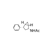 CC(=O)N[C@@H]1C[C@H](c2ccccc2)[C@H]2C[C@@H]21